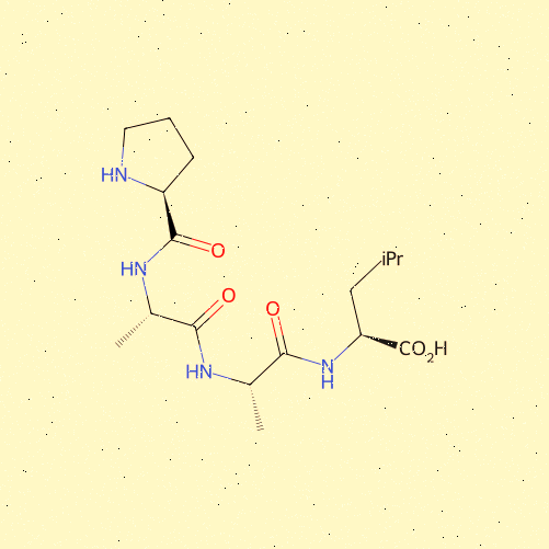 CC(C)C[C@H](NC(=O)[C@H](C)NC(=O)[C@H](C)NC(=O)[C@@H]1CCCN1)C(=O)O